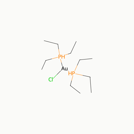 CC[PH](CC)(CC)[Au]([Cl])[PH](CC)(CC)CC